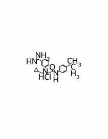 CC(C)c1ccc(NC(=O)CN(CC2CC2)c2cccc(C(=N)N)c2)cc1.Cl